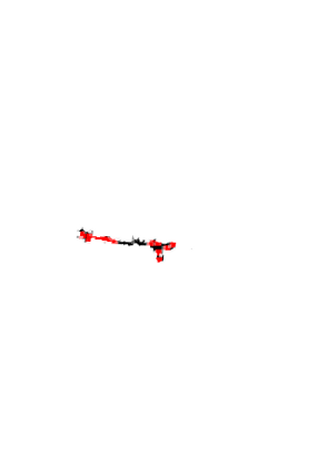 COc1cc2c(NC3CCCN(C(=O)O)C3)nc(N3CCCC3)nc2cc1OCc1cn(CCOCCOCCNC(=O)CCCC[C@@H]2SC[C@@H]3NC(=O)N[C@@H]32)nn1